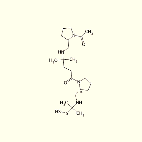 CC(=O)N1CCCC1CNC(C)(C)CCC(=O)N1CCC[C@@H]1CNC(C)(C)SS